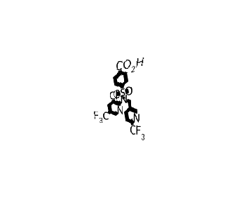 O=C(O)c1ccc(S(=O)(=O)N(Cc2ccc(C(F)(F)F)nc2)c2ncc(C(F)(F)F)cc2Cl)cc1